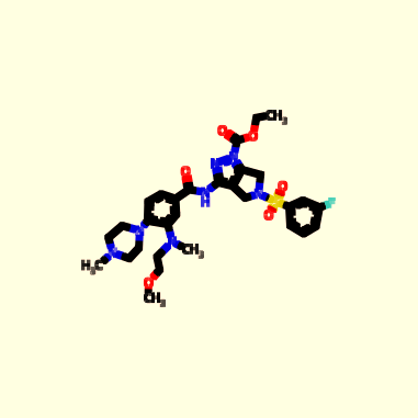 CCOC(=O)n1nc(NC(=O)c2ccc(N3CCN(C)CC3)c(N(C)CCOC)c2)c2c1CN(S(=O)(=O)c1cccc(F)c1)C2